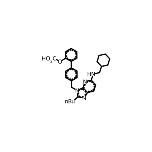 CCCCc1nc2ccc(NCC3CCCCC3)nc2n1Cc1ccc(-c2ccccc2OC(=O)O)cc1